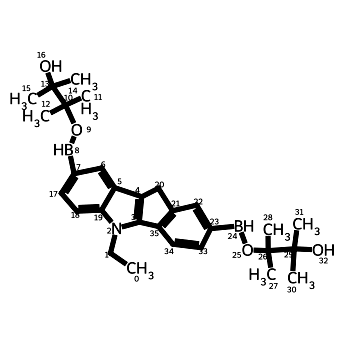 CCn1c2c(c3cc(BOC(C)(C)C(C)(C)O)ccc31)Cc1cc(BOC(C)(C)C(C)(C)O)ccc1-2